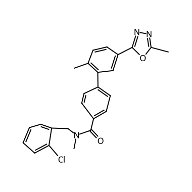 Cc1nnc(-c2ccc(C)c(-c3ccc(C(=O)N(C)Cc4ccccc4Cl)cc3)c2)o1